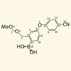 COCOCc1cc(Oc2ccc(C#N)cc2)ccc1B(O)O